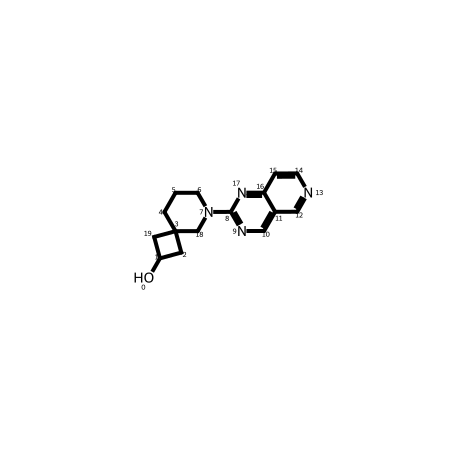 OC1CC2(CCCN(c3ncc4cnccc4n3)C2)C1